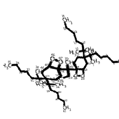 CCCCCC(C)(C)C1(C(C)(C)CCCCC)CCC2(C(C)(CC)C34CCC(C(C)(C)CCCCC)(C(C)(C)CCCCC)CC3OO4)OOC2C1